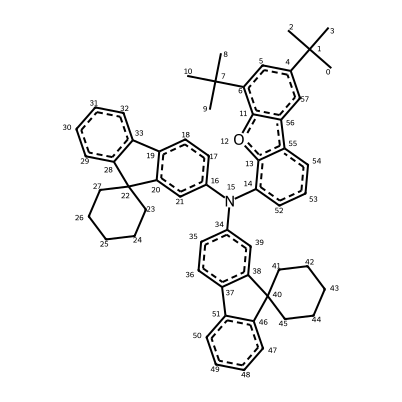 CC(C)(C)c1cc(C(C)(C)C)c2oc3c(N(c4ccc5c(c4)C4(CCCCC4)c4ccccc4-5)c4ccc5c(c4)C4(CCCCC4)c4ccccc4-5)cccc3c2c1